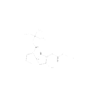 COC(=O)CN1C(=O)[C@@]2(CCCN2C(=O)OC(C)(C)C)CC1O